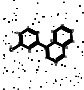 Clc1nccc(-c2cncc3ccccc23)n1